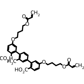 C=CC(=O)OCCCCOc1ccc(C(=O)O)c(-c2ccc(-c3cc(OCCCCOC(=O)C=C)ccc3C(=O)O)c(C)c2)c1